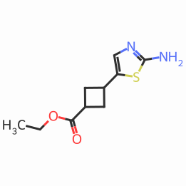 CCOC(=O)C1CC(c2cnc(N)s2)C1